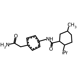 CC1CCC(C(C)C)C(C(=O)Nc2ccc(CC(N)=O)cc2)C1